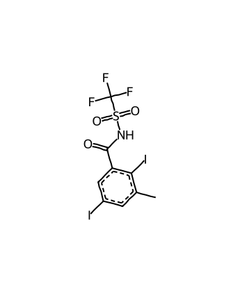 Cc1cc(I)cc(C(=O)NS(=O)(=O)C(F)(F)F)c1I